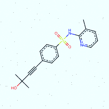 Cc1cccnc1NS(=O)(=O)c1ccc(C#CC(C)(C)O)cc1